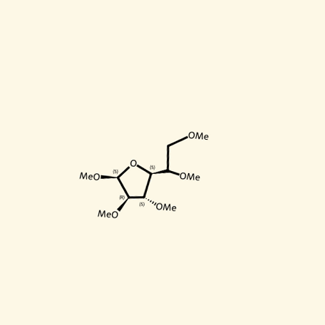 COCC(OC)[C@@H]1O[C@H](OC)[C@H](OC)[C@H]1OC